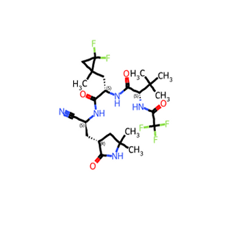 CC1(C)C[C@@H](C[C@@H](C#N)NC(=O)[C@H](CC2(C)CC2(F)F)NC(=O)[C@@H](NC(=O)C(F)(F)F)C(C)(C)C)C(=O)N1